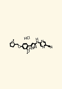 COc1cc(OCC2CCCN2C)ccc1-c1cc(Nc2cnc(C#N)cn2)n[nH]1.Cl